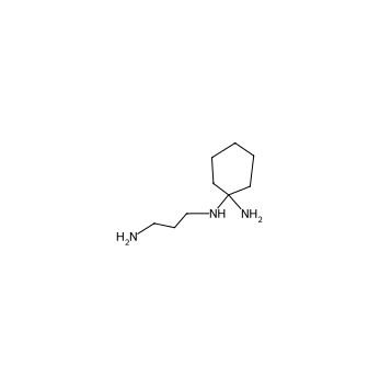 NCCCNC1(N)CCCCC1